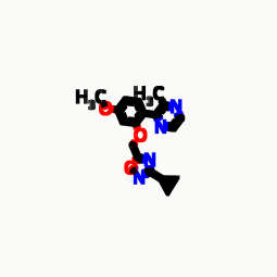 COc1ccc(-c2nccnc2C)c(OCc2nc(C3CC3)no2)c1